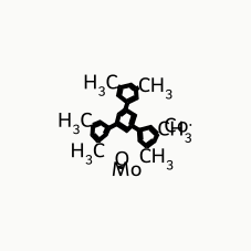 Cc1cc(C)cc(-c2cc(-c3cc(C)cc(C)c3)cc(-c3cc(C)cc(C)c3)c2)c1.[Co].[O]=[Mo]